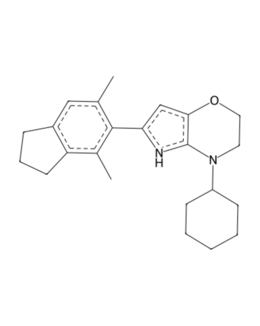 Cc1cc2c(c(C)c1-c1cc3c([nH]1)N(C1CCCCC1)CCO3)CCC2